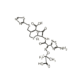 CC(C)(O/N=C(/C(=O)NC1C(=O)N2C(C(=O)O)=C(CSc3nncs3)CS[C@H]12)c1nsc(N)n1)C(=O)O